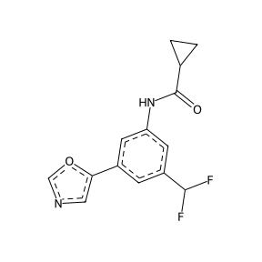 O=C(Nc1cc(-c2cnco2)cc(C(F)F)c1)C1CC1